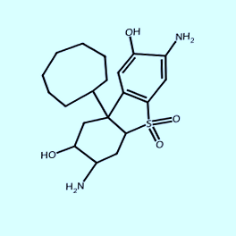 Nc1cc2c(cc1O)C1(C3CCCCCCC3)CC(O)C(N)CC1S2(=O)=O